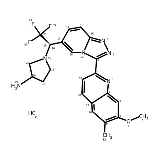 COc1cc2nc(-c3nnc4ccc([C@@H](N5CCC(N)C5)C(F)(F)F)cn34)ccc2cc1C.Cl